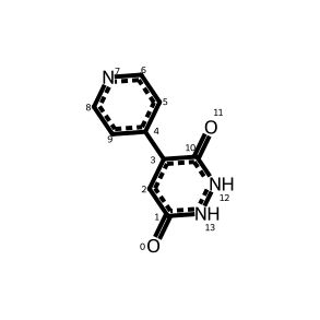 O=c1cc(-c2ccncc2)c(=O)[nH][nH]1